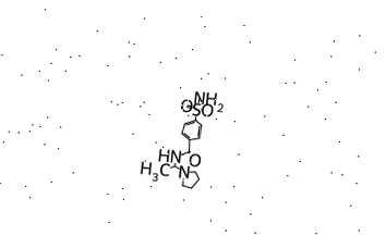 CC(NC(=O)c1ccc(S(N)(=O)=O)cc1)N1CCCC1